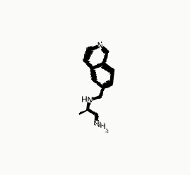 C[C@H](CN)NCc1ccc2cnccc2c1